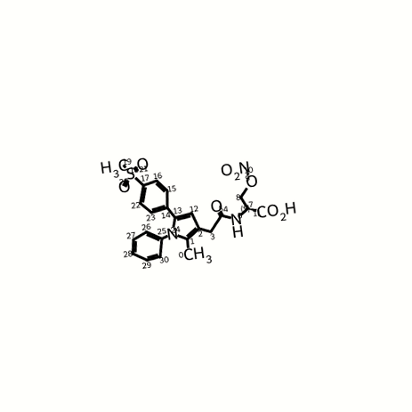 Cc1c(CC(=O)N[C@@H](CO[N+](=O)[O-])C(=O)O)cc(-c2ccc(S(C)(=O)=O)cc2)n1-c1ccccc1